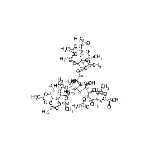 CCC(OC(C)=O)C(OC(C)=O)C(OC(C)=O)C(OC(C)=O)C(=O)NCC(CN)(CNCOC(OC(C)=O)C(OC(C)=O)C(OC(C)=O)C(COC(C)=O)OC(C)=O)CC(NO)C(C)C(OC(C)=O)C(C)C(COC(C)=O)OC(C)=O